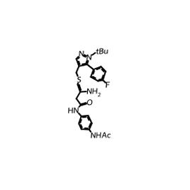 CC(=O)Nc1ccc(NC(=O)C/C(N)=C/SCc2cnn(C(C)(C)C)c2-c2ccc(F)cc2)cc1